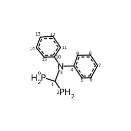 PC(P)N(c1ccccc1)c1ccccc1